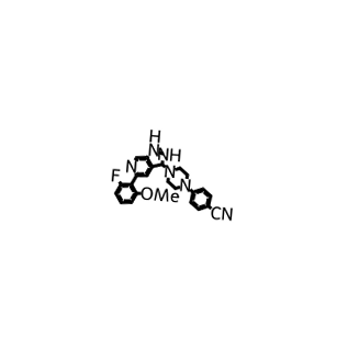 COc1cccc(F)c1-c1cc2c(cn1)NNC2N1CCN(c2ccc(C#N)cc2)CC1